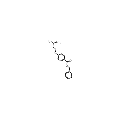 CN(C)CCOc1ccc(C(=O)OCc2ccccc2)cc1